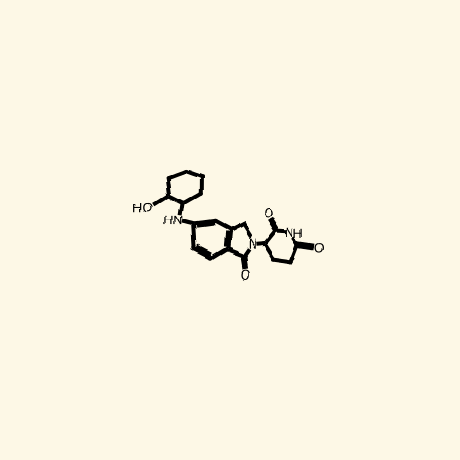 O=C1CCC(N2Cc3cc(NC4CCCCC4O)ccc3C2=O)C(=O)N1